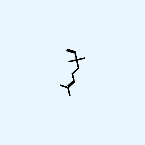 [CH]=CC(C)(C)CCC=C(C)C